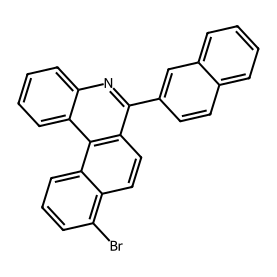 Brc1cccc2c1ccc1c(-c3ccc4ccccc4c3)nc3ccccc3c12